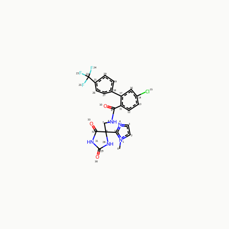 Cn1ccnc1C1(CNC(=O)c2ccc(Cl)cc2-c2ccc(C(F)(F)F)cc2)NC(=O)NC1=O